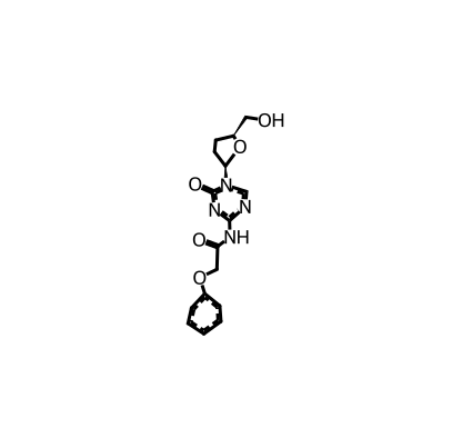 O=C(COc1ccccc1)Nc1ncn([C@H]2CC[C@@H](CO)O2)c(=O)n1